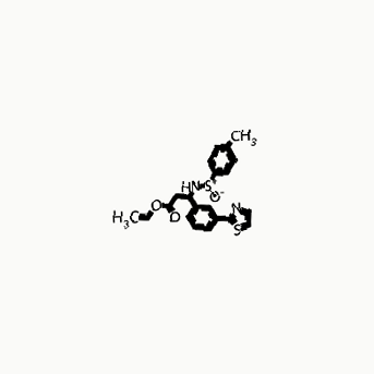 CCOC(=O)CC(N[S@+]([O-])c1ccc(C)cc1)c1cccc(-c2nccs2)c1